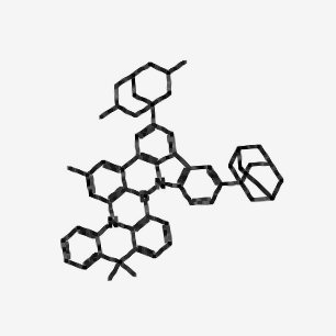 Cc1cc2c3c(c1)N1c4ccccc4C(C)(C)c4cccc(c41)B3n1c3ccc(C45CC6CC(CC(C6)C4)C5)cc3c3cc(C45CC(C)CC(CC(C)C4)C5)cc-2c31